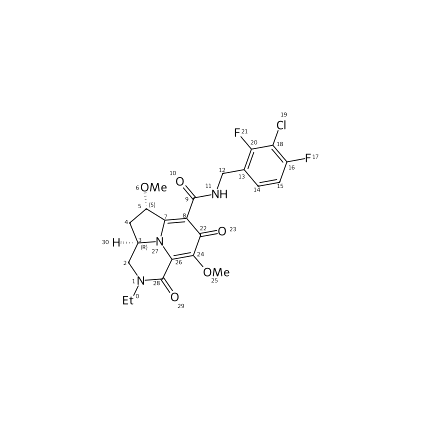 CCN1C[C@H]2C[C@H](OC)c3c(C(=O)NCc4ccc(F)c(Cl)c4F)c(=O)c(OC)c(n32)C1=O